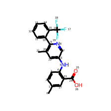 Cc1ccc(Nc2cnc(-c3ccccc3C(F)(F)F)c(C)c2)c(C(=O)O)c1